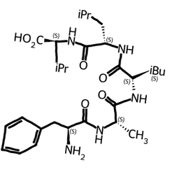 CC[C@H](C)[C@H](NC(=O)[C@H](C)NC(=O)[C@@H](N)Cc1ccccc1)C(=O)N[C@@H](CC(C)C)C(=O)N[C@H](C(=O)O)C(C)C